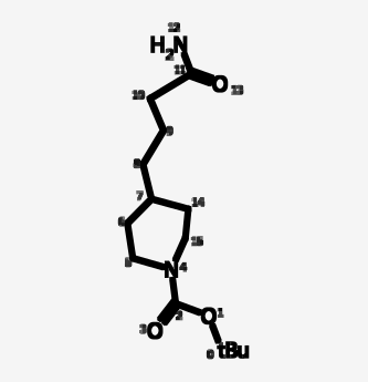 CC(C)(C)OC(=O)N1CCC(CCCC(N)=O)CC1